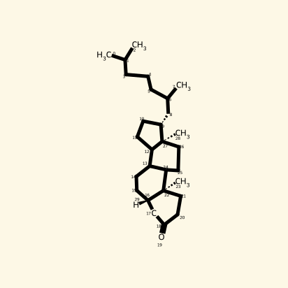 CC(C)CCCC(C)C[C@H]1CCC2C3CC[C@H]4CC(=O)CC[C@]4(C)C3CC[C@@]21C